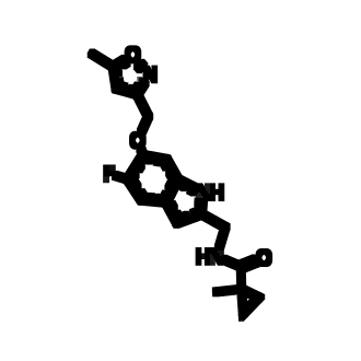 Cc1cc(COc2cc3[nH]c(CNC(=O)C4(C)CC4)cc3cc2F)no1